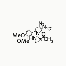 COc1ccc(-c2cc3ncn(C4CC4)c3c(O[C@H](C)[C@@H]3CCNC3)n2)cc1OC